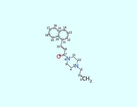 C=CCN1CCN(C(=O)/C=C/c2cccc3ccccc23)CC1